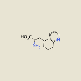 NC(CC1CCCc2ncccc21)C(=O)O